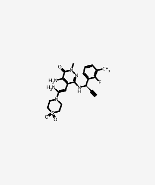 C#C[C@@H](Nc1nn(C)c(=O)c(N)c1/C=C(\N)N1CCS(=O)(=O)CC1)c1cccc(C(F)(F)F)c1F